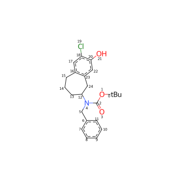 CC(C)(C)OC(=O)N(Cc1ccccc1)C1CCCc2cc(Cl)c(O)cc2C1